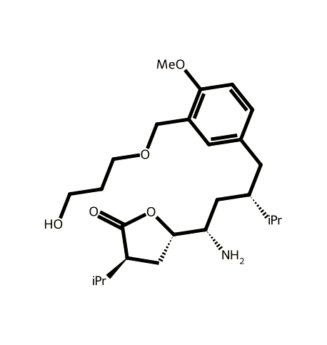 COc1ccc(C[C@@H](C[C@H](N)[C@@H]2C[C@@H](C(C)C)C(=O)O2)C(C)C)cc1COCCCO